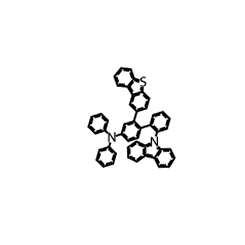 c1ccc(N(c2ccccc2)c2ccc(-c3ccccc3-n3c4ccccc4c4ccccc43)c(-c3ccc4sc5ccccc5c4c3)c2)cc1